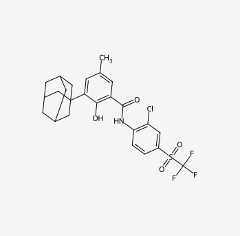 Cc1cc(C(=O)Nc2ccc(S(=O)(=O)C(F)(F)F)cc2Cl)c(O)c(C23CC4CC(CC(C4)C2)C3)c1